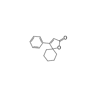 O=C1C=C(c2ccccc2)C2(CCCCC2)O1